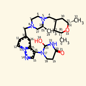 C[C@@H]1CC(CN2CCN(Cc3ccn4ncc(N5CCC(=O)NC5O)c4c3)C[C@@H]2C)C[C@H](C)O1